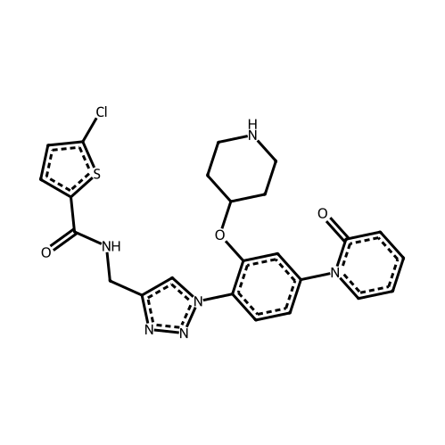 O=C(NCc1cn(-c2ccc(-n3ccccc3=O)cc2OC2CCNCC2)nn1)c1ccc(Cl)s1